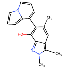 Cc1c2cc(C(F)(F)F)c(-c3cccn4cccc34)c(O)c2nn1C